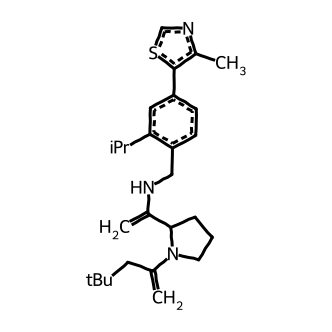 C=C(NCc1ccc(-c2scnc2C)cc1C(C)C)C1CCCN1C(=C)CC(C)(C)C